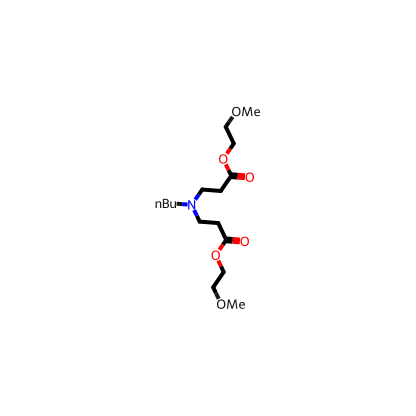 CCCCN(CCC(=O)OCCOC)CCC(=O)OCCOC